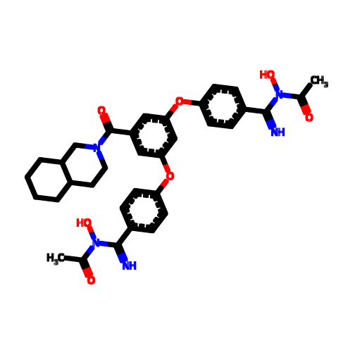 CC(=O)N(O)C(=N)c1ccc(Oc2cc(Oc3ccc(C(=N)N(O)C(C)=O)cc3)cc(C(=O)N3CCC4CCCCC4C3)c2)cc1